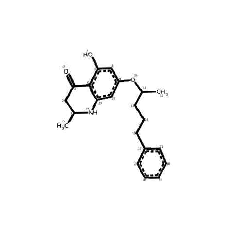 CC1CC(=O)c2c(O)cc(OC(C)CCCc3ccccc3)cc2N1